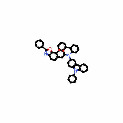 c1ccc(-c2nc3ccc4cc(N(c5ccc6c(c5)c5ccccc5n6-c5ccccc5)c5ccccc5-c5ccccc5)ccc4c3o2)cc1